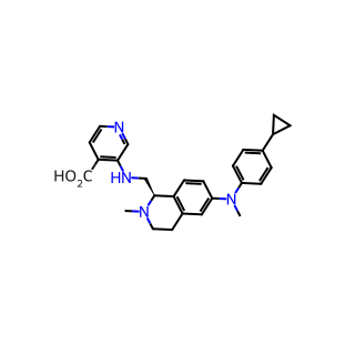 CN(c1ccc(C2CC2)cc1)c1ccc2c(c1)CCN(C)[C@H]2CNc1cnccc1C(=O)O